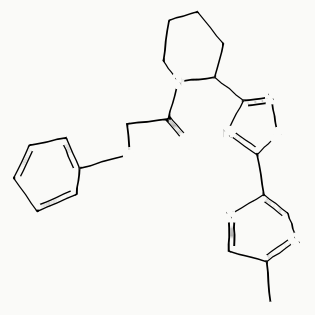 Cc1cnc(-c2nc(C3CCCCN3C(=O)COc3ccccc3)no2)cn1